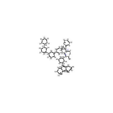 C=C/C(=C1\C(=C/C)N(C2=CC=CCC2)[C@H]2C=CC(c3cccc(-c4cccc(-c5ccccc5)c4)c3)=CC12)c1cccc(-n2c3cc#cnc3c3ncccc32)c1